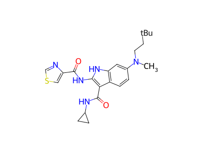 CN(CCC(C)(C)C)c1ccc2c(C(=O)NC3CC3)c(NC(=O)c3cscn3)[nH]c2c1